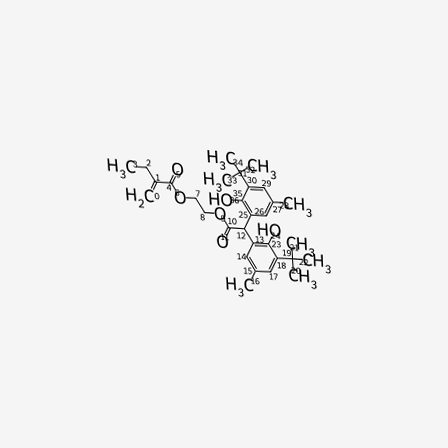 C=C(CC)C(=O)OCCOC(=O)C(c1cc(C)cc(C(C)(C)C)c1O)c1cc(C)cc(C(C)(C)C)c1O